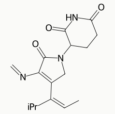 C=NC1=C(/C(=C\C)C(C)C)CN(C2CCC(=O)NC2=O)C1=O